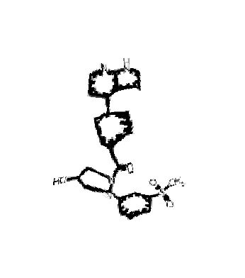 CS(=O)(=O)c1cccc([C@H]2CC(O)CN2C(=O)c2ccc(-c3ccnc4[nH]ccc34)cc2)c1